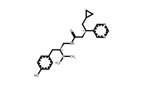 CN(C)[C@H](CNC(=O)C[C@@H](CC1CC1)c1cncnc1)Cc1ccc(O)cc1